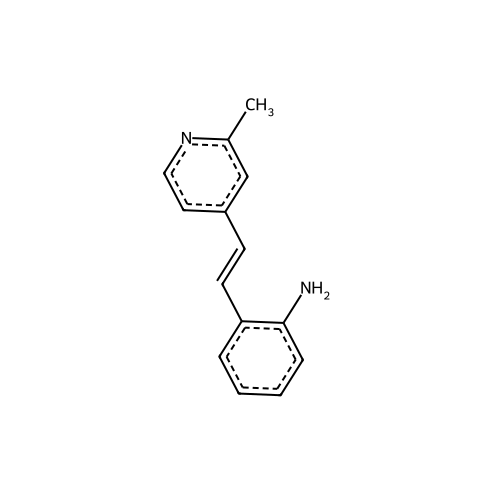 Cc1cc(C=Cc2ccccc2N)ccn1